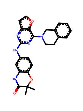 CC1(C)Oc2ccc(Nc3nc(N4CCc5ccccc5C4)c4occc4n3)cc2NC1=O